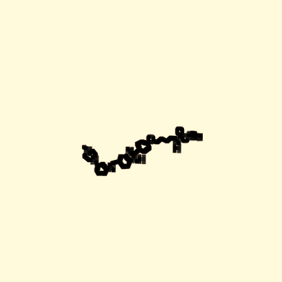 CN1CCN(c2cccc(/N=C/c3ccc4[nH]c(-c5ccc(OCCCCNC(=O)OC(C)(C)C)cc5)nc4c3)c2)CC1